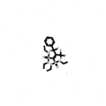 CCOP(=O)(OCC)C(=C(C(F)(F)F)C(F)(F)c1ccccc1)P(=O)(OCC)OCC